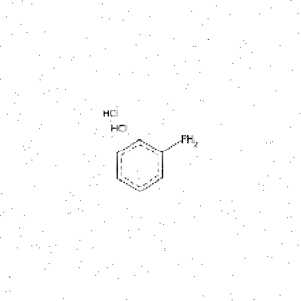 Cl.Cl.Pc1ccccc1